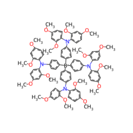 COc1ccc(N(c2ccc([B-](c3ccc(N(c4ccc(OC)cc4OC)c4ccc(OC)cc4OC)cc3)(c3ccc(N(c4ccc(OC)cc4OC)c4ccc(OC)cc4OC)cc3)c3ccc(N(c4ccc(OC)cc4OC)c4ccc(OC)cc4OC)cc3)cc2)c2ccc(OC)cc2OC)c(OC)c1